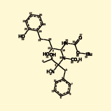 CC(O)C(N)(Cc1ccccc1)N(C(=O)O)C(NC(=O)OC(C)(C)C)C(O)CCc1ccccc1O